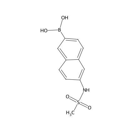 CS(=O)(=O)Nc1ccc2cc(B(O)O)ccc2c1